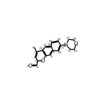 CC1=CC(C=O)Oc2cc3cc(N4CCOCC4)ccc3cc21